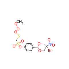 COOOSCS(=O)(=O)Oc1ccc(C2OCC(Br)([N+](=O)[O-])CO2)cc1